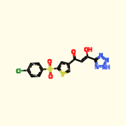 O=C(C=C(O)c1nn[nH]n1)c1csc(S(=O)(=O)c2ccc(Cl)cc2)c1